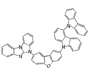 c1ccc2c(c1)nc1n(-c3ccc4oc5ccc(-n6c7ccccc7c7c(-n8c9ccccc9c9ccccc98)cccc76)cc5c4c3)c3ccccc3n21